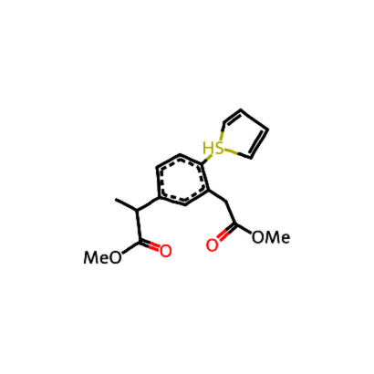 COC(=O)Cc1cc(C(C)C(=O)OC)ccc1[SH]1C=CC=C1